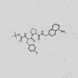 CC(C)(C)OC(=O)NC(Cc1ccc(F)cc1)C(=O)N1CCCC1C(=O)NCc1ccc2c(N)nccc2c1